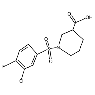 O=C(O)C1CCCN(S(=O)(=O)c2ccc(F)c(Cl)c2)C1